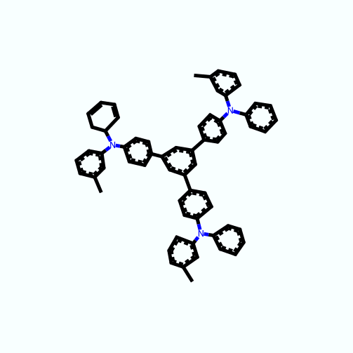 Cc1cccc(N(c2ccccc2)c2ccc(-c3cc(-c4ccc(N(c5ccccc5)c5cccc(C)c5)cc4)cc(-c4ccc(N(c5cccc(C)c5)C5C=CC=CC5)cc4)c3)cc2)c1